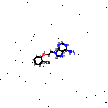 N#Cc1ccccc1OCCn1cnc2c(N)ncnc21